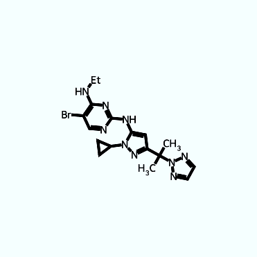 CCNc1nc(Nc2cc(C(C)(C)n3nccn3)nn2C2CC2)ncc1Br